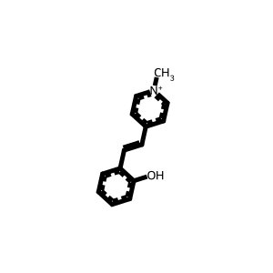 C[n+]1ccc(/C=C/c2ccccc2O)cc1